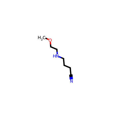 COCCNCCCC#N